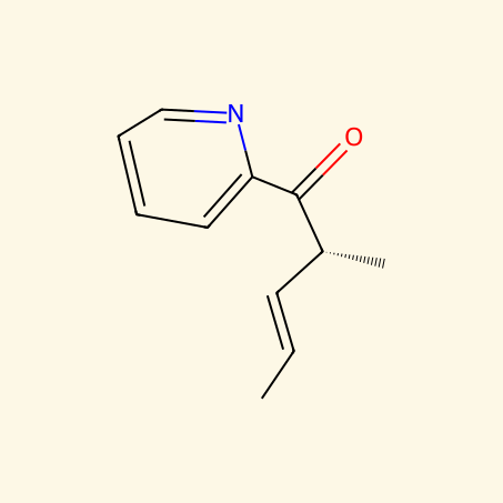 C/C=C/[C@@H](C)C(=O)c1ccccn1